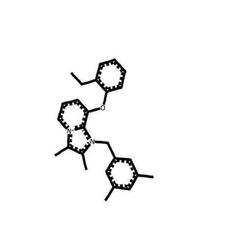 CCc1ccccc1Oc1ccc[n+]2c(C)c(C)n(Cc3cc(C)cc(C)c3)c12